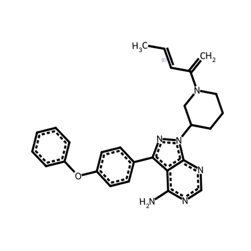 C=C(/C=C/C)N1CCCC(n2nc(-c3ccc(Oc4ccccc4)cc3)c3c(N)ncnc32)C1